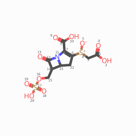 O=C(O)C[S+]([O-])C1=C(C(=O)O)N2C(=O)C(COS(=O)(=O)O)C2C1